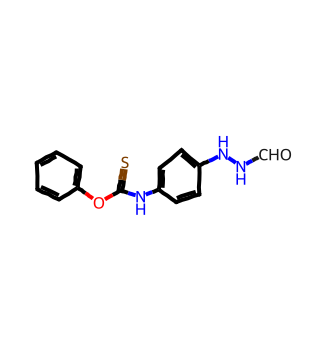 O=CNNc1ccc(NC(=S)Oc2ccccc2)cc1